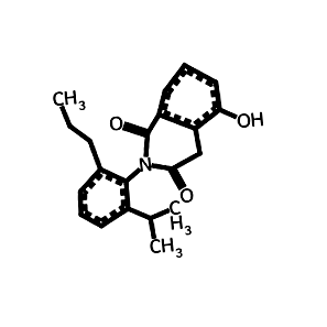 CCCc1cccc(C(C)C)c1N1C(=O)Cc2c(O)cccc2C1=O